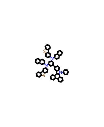 c1ccc(-n2c3ccc(-c4cc(N(c5ccc6ccccc6c5)c5ccc6sc7ccccc7c6c5)cc(N(c5ccc6ccccc6c5)c5ccc6sc7ccccc7c6c5)c4)cc3c3c4ccccc4c4ccccc4c32)cc1